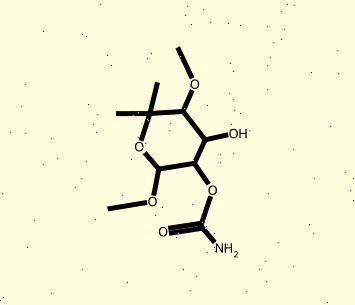 COC1OC(C)(C)C(OC)C(O)C1OC(N)=O